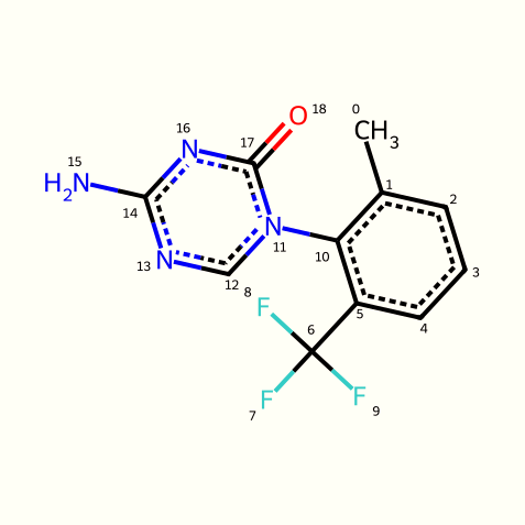 Cc1cccc(C(F)(F)F)c1-n1cnc(N)nc1=O